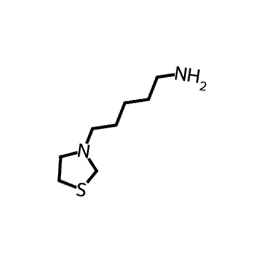 NCCCCCN1CCSC1